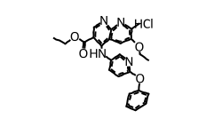 CCOC(=O)c1cnc2nc(C)c(OCC)cc2c1Nc1ccc(Oc2ccccc2)nc1.Cl